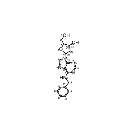 OCC1O[C@@H](n2cnc3c(NCc4ccccc4)ncnc32)C[C@@H]1O